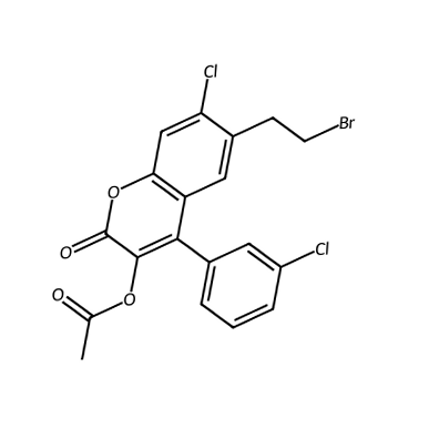 CC(=O)Oc1c(-c2cccc(Cl)c2)c2cc(CCBr)c(Cl)cc2oc1=O